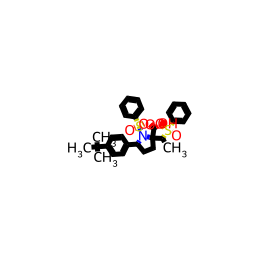 CC(C1(C(=O)O)CCC(c2ccc(C(C)(C)C)cc2)N1S(=O)(=O)c1ccccc1)S(=O)(=O)c1ccccc1